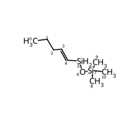 CCCC=C[SiH2]O[Si](C)(C)C